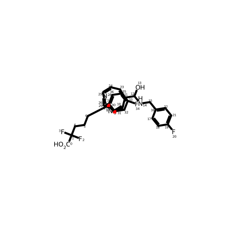 O=C(O)C(F)(F)CCCC1=N/C2=C/C(C(O)NCc3ccc(F)cc3)=C\C=C(CC2)\N=C\1c1ccc(F)cc1